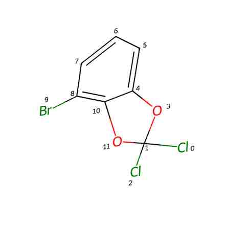 ClC1(Cl)Oc2cccc(Br)c2O1